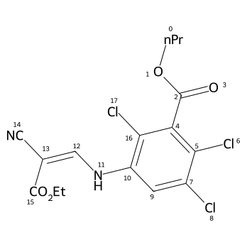 CCCOC(=O)c1c(Cl)c(Cl)cc(NC=C(C#N)C(=O)OCC)c1Cl